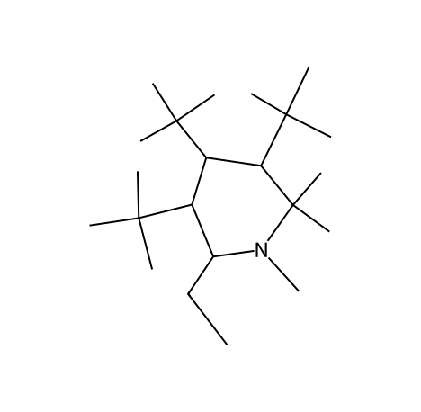 CCC1C(C(C)(C)C)C(C(C)(C)C)C(C(C)(C)C)C(C)(C)N1C